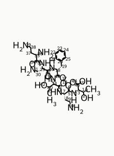 C[C@@H](O)[C@H](NC(=O)[C@H](CCN)NC(=O)[C@@H](NC(=O)[C@@H](Cc1ccccc1)NC(=O)[C@H](CN)NC(=O)[C@@H](N)CCN)[C@@H](C)O)C(=O)O